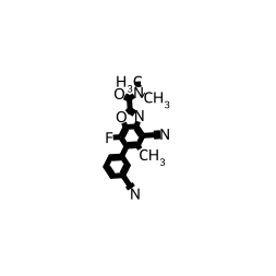 Cc1c(-c2cccc(C#N)c2)c(F)c2oc(C(=O)N(C)C)nc2c1C#N